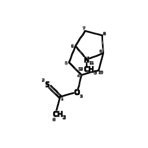 CC(=S)OC1CC2CCC(C1)N2C